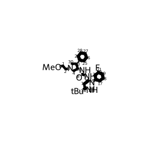 COCCN1C[C@@H](NC(=O)N/C(=C/C(=N)C(C)(C)C)Nc2cccc(F)c2)[C@H](c2ccccc2)C1